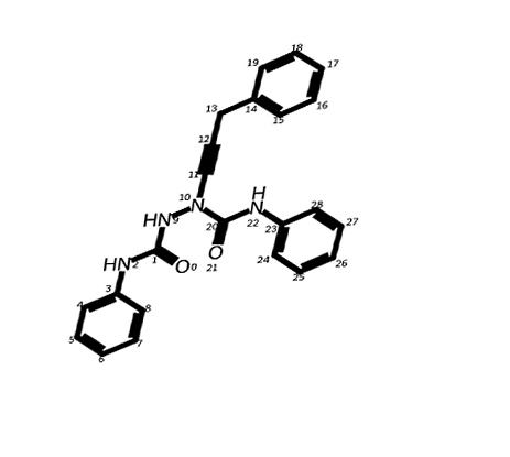 O=C(Nc1ccccc1)NN(C#CCc1ccccc1)C(=O)Nc1ccccc1